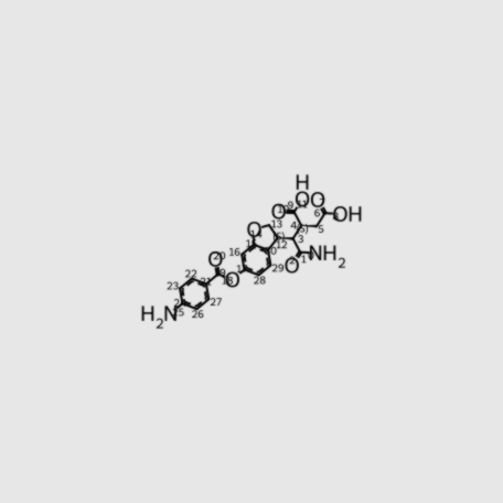 NC(=O)C([C@H](CC(=O)O)C(=O)O)[C@@H]1COc2cc(OC(=O)c3ccc(N)cc3)ccc21